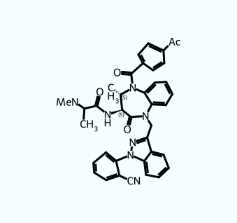 CNC(C)C(=O)N[C@@H]1C(=O)N(Cc2nn(-c3ccccc3C#N)c3ccccc23)c2ccccc2N(C(=O)c2ccc(C(C)=O)cc2)[C@H]1C